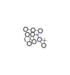 CC1(C)c2ccccc2-c2ccc(N(c3ccccc3-c3ccc(-c4ccccc4)cc3)c3cccc4c3-c3ccccc3C43c4ccccc4C=Cc4ccccc43)cc21